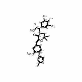 COc1cc(C=C2OC(C)(C)CN([C@H](c3cc(F)c(F)c(F)c3)[C@@H](C)O)C2=O)ccc1-n1cnc(C)n1